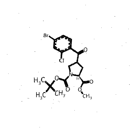 COC(=O)[C@@H]1CC(C(=O)c2ccc(Br)cc2Cl)CN1C(=O)OC(C)(C)C